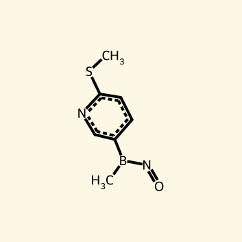 CSc1ccc(B(C)N=O)cn1